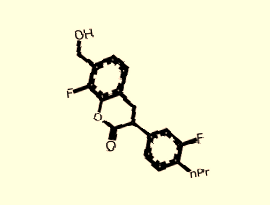 CCCc1ccc(C2Cc3ccc(CO)c(F)c3OC2=O)cc1F